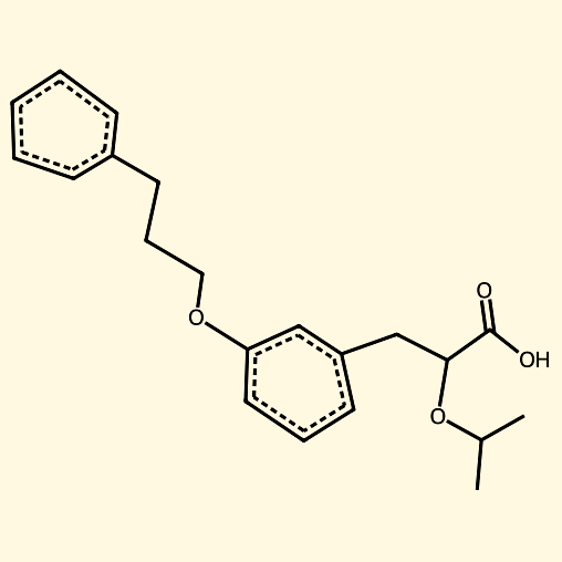 CC(C)OC(Cc1cccc(OCCCc2ccccc2)c1)C(=O)O